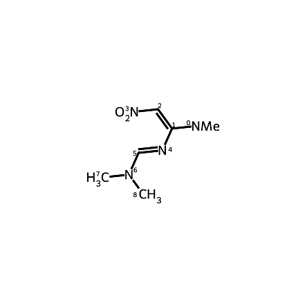 CNC(=C[N+](=O)[O-])N=CN(C)C